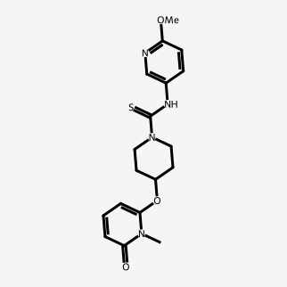 COc1ccc(NC(=S)N2CCC(Oc3cccc(=O)n3C)CC2)cn1